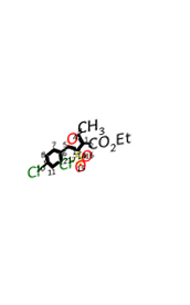 CCOC(=O)c1c(C)oc(-c2ccc(Cl)cc2)c1S(=O)(=O)Cl